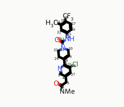 CNC(=O)Cc1cnc(C2=CCN(C(=O)Nc3ccc(C(F)(F)F)c(C)c3)CC2)c(Cl)c1